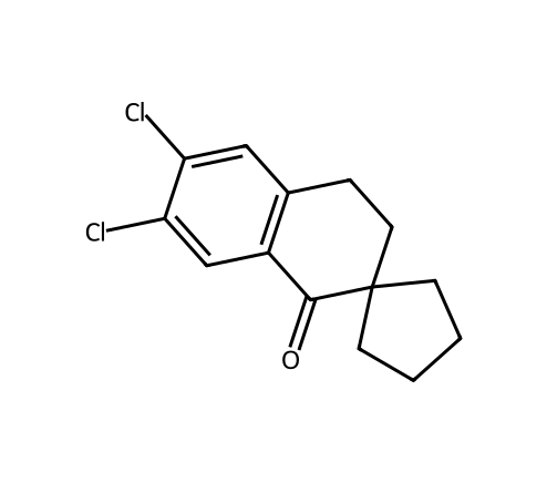 O=C1c2cc(Cl)c(Cl)cc2CCC12CCCC2